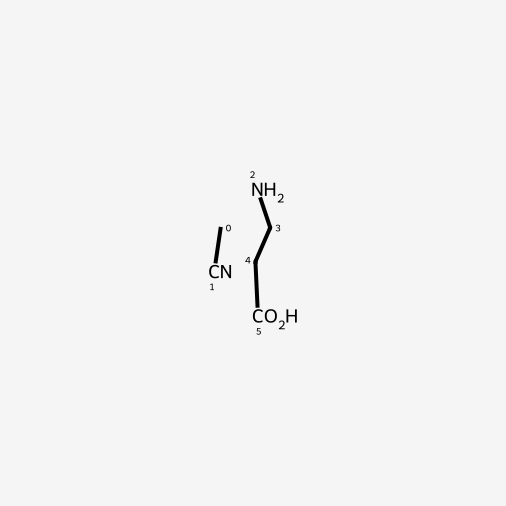 CC#N.NCCC(=O)O